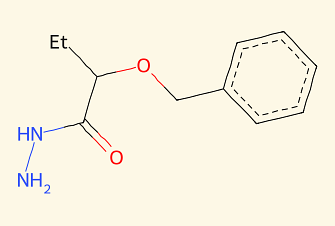 CCC(OCc1ccccc1)C(=O)NN